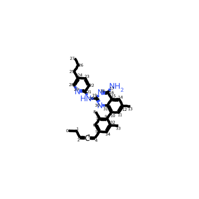 CCC=C=Cc1cc(C)c(-c2cc(C)cc3c(N)nc(Nc4ccc(CCC)cn4)nc23)c(C)c1